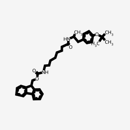 CC(Cc1ccc(OC(C)(C)C)cc1)NC(=O)CCCCCCCNC(=O)OCC1c2ccccc2-c2ccccc21